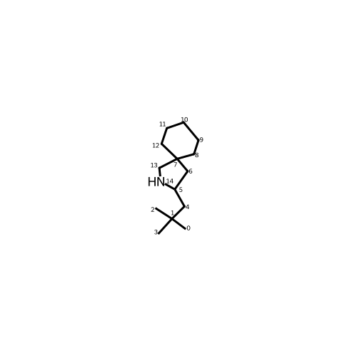 CC(C)(C)CC1CC2(CCCCC2)CN1